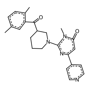 Cc1ccc(C)c(C(=O)C2CCCN(c3nc(-c4ccncc4)cc(=O)n3C)C2)c1